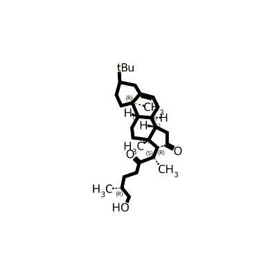 C[C@@H](CO)CCC(=O)[C@@H](C)[C@H]1C(=O)C[C@H]2[C@@H]3CC=C4CC(C(C)(C)C)CC[C@]4(C)[C@H]3CC[C@]12C